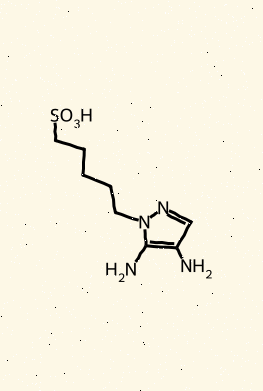 Nc1cnn(CCCCCS(=O)(=O)O)c1N